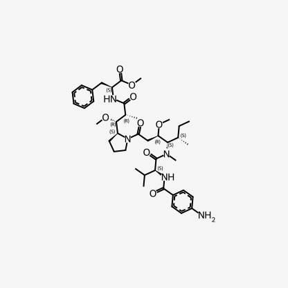 CC[C@H](C)[C@@H]([C@@H](CC(=O)N1CCC[C@H]1[C@H](OC)[C@@H](C)C(=O)N[C@@H](Cc1ccccc1)C(=O)OC)OC)N(C)C(=O)[C@@H](NC(=O)c1ccc(N)cc1)C(C)C